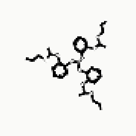 CCCOC(C)Oc1ccccc1OB(Oc1ccccc1OC(C)OCCC)Oc1ccccc1OC(C)OCCC